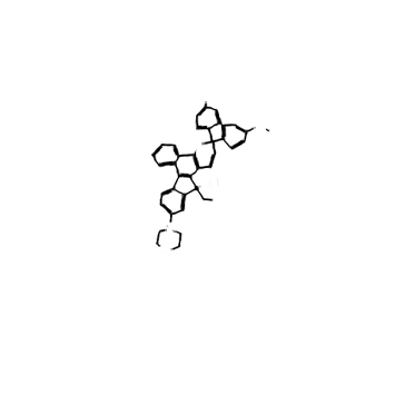 CCC1(O)c2cc(N3CCOCC3)ccc2-c2c1c1c(c3ccccc23)OC(c2ccc(OC)cc2)(c2ccc(OC)cc2)C=C1